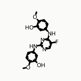 COc1ccc(Nc2ncc(F)c(Nc3ccc(OC)c(O)c3)n2)cc1O